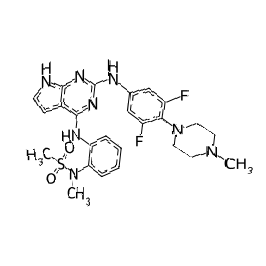 CN1CCN(c2c(F)cc(Nc3nc(Nc4ccccc4N(C)S(C)(=O)=O)c4cc[nH]c4n3)cc2F)CC1